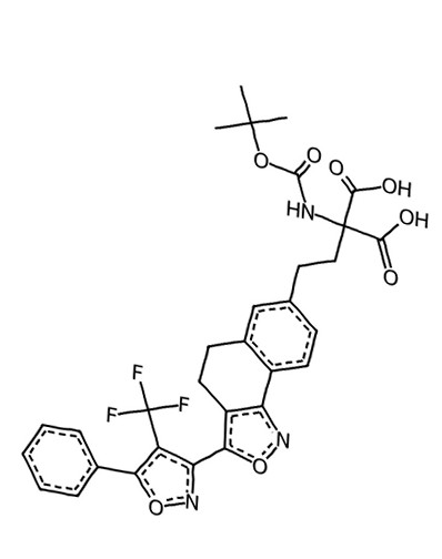 CC(C)(C)OC(=O)NC(CCc1ccc2c(c1)CCc1c-2noc1-c1noc(-c2ccccc2)c1C(F)(F)F)(C(=O)O)C(=O)O